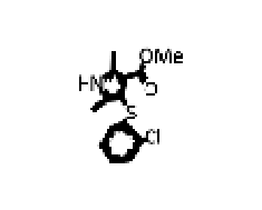 COC(=O)c1c(C)[nH]c(C)c1Sc1ccccc1Cl